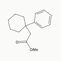 COC(=O)CC1(c2cc[c]cc2)CCCCC1